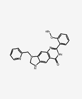 CCCOc1ccccc1-c1nc2cc3c(cc2c(=O)[nH]1)NCN3Cc1ccccn1